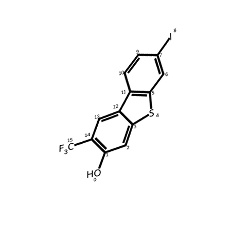 Oc1cc2sc3cc(I)ccc3c2cc1C(F)(F)F